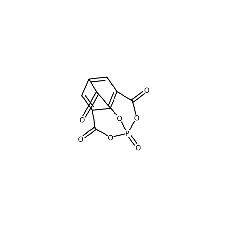 O=C1OP2(=O)OC(=O)c3cc1cc(c3)C(=O)O2